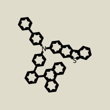 c1ccc(-c2ccc(N(c3ccc(-c4ccccc4-c4cc5ccccc5c5ccccc45)cc3)c3ccc4cc5c(cc4c3)sc3ccccc35)cc2)cc1